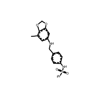 Cc1cc(NCc2ccc(NS(=O)(=O)C(C)C)cc2)cc2c1OCO2